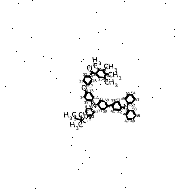 CCC(C)(C)Oc1ccc(N(c2ccc(Oc3ccc(C(=O)C4=CC(C)C(C)=C(C)C4C)cc3)cc2)c2ccc(-c3ccc(N(c4ccccc4)c4ccccc4)cc3)cc2)cc1